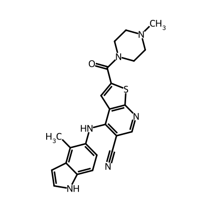 Cc1c(Nc2c(C#N)cnc3sc(C(=O)N4CCN(C)CC4)cc23)ccc2[nH]ccc12